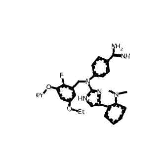 CCOc1cc(CN(c2ccc(C(=N)N)cc2)c2nc(-c3ccccc3N(C)C)c[nH]2)c(F)c(OC(C)C)c1